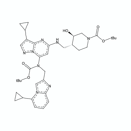 CC(C)(C)OC(=O)N1CC[C@H](CNc2cc(N(Cc3cn4c(C5CC5)cccc4n3)C(=O)OC(C)(C)C)n3ncc(C4CC4)c3n2)[C@@H](O)C1